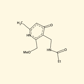 CCC(=O)NCc1c(COC)[nH]c(C)cc1=O